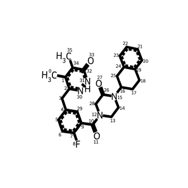 Cc1c(Cc2ccc(F)c(C(=O)N3CCN(C4CCc5ccccc5C4)C(=O)C3)c2)n[nH]c(=O)c1C